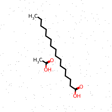 CC(=O)O.CCCCCCCCCCCCCCCC(=O)O